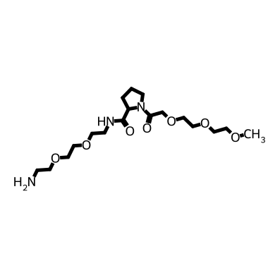 COCCOCCOCC(=O)N1CCCC1C(=O)NCCOCCOCCN